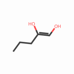 CCCC(O)=CO